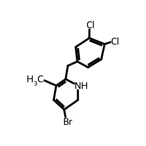 CC1=C(Cc2ccc(Cl)c(Cl)c2)NCC(Br)=C1